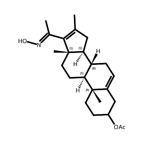 CC(=O)OC1CC[C@@]2(C)C(=CC[C@@H]3[C@@H]2CC[C@]2(C)C(C(C)=NO)=C(C)C[C@@H]32)C1